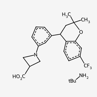 CC(C)(C)N.CC1(C)CC(c2cccc(N3CC(C(=O)O)C3)c2)c2ccc(C(F)(F)F)cc2O1